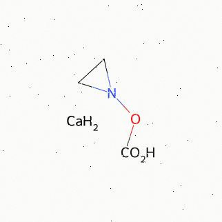 O=C(O)ON1CC1.[CaH2]